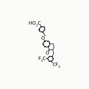 O=C(O)c1ccc(COc2ccc3c(c2)CCC(Cc2cc(C(F)(F)F)cc(C(F)(F)F)c2)C3=O)cc1